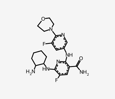 NC(=O)c1cc(F)c(NC2CCCCC2N)nc1Nc1cnc(N2CCOCC2)c(F)c1